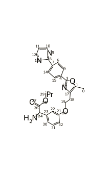 Cc1oc(-c2ccc(-c3ncccn3)cc2)nc1CCOc1[c]c(C(N)C(=O)OC(C)C)ccc1